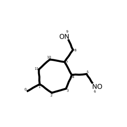 CC1CCC(CN=O)C(CN=O)CC1